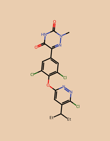 CCC(CC)c1cc(Oc2c(Cl)cc(-c3nn(C)c(=O)[nH]c3=O)cc2Cl)nnc1Cl